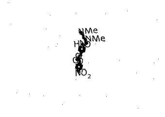 CNCCCC(NC)C(=O)Nc1ccc(COC(=O)Oc2ccc([N+](=O)[O-])cc2)cc1